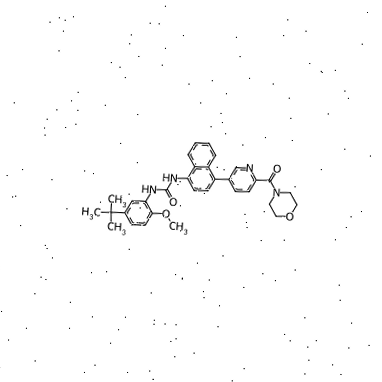 COc1ccc(C(C)(C)C)cc1NC(=O)Nc1ccc(-c2ccc(C(=O)N3CCOCC3)nc2)c2ccccc12